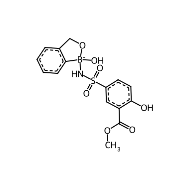 COC(=O)c1cc(S(=O)(=O)N[B-]2(O)OCc3ccccc32)ccc1O